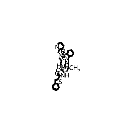 CC(C)C[C@H](NC(=O)c1cc2ccccc2s1)C(=O)NCCCN(Cc1ccccn1)S(=O)(=O)c1ccccc1C#N